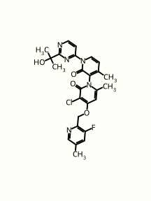 Cc1cnc(COc2cc(C)n(-c3c(C)ccn(-c4ccnc(C(C)(C)O)n4)c3=O)c(=O)c2Cl)c(F)c1